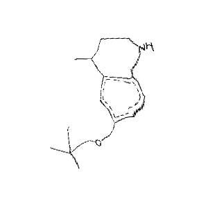 CC1CCNc2ccc(OC(C)(C)C)cc21